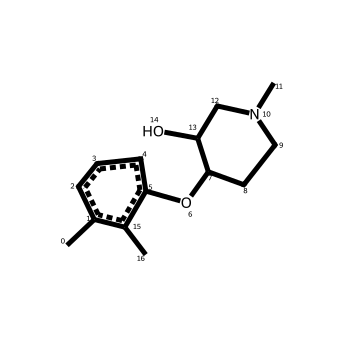 Cc1cccc(OC2CCN(C)CC2O)c1C